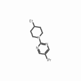 CCC1CCN(c2ncc(C(C)C)cn2)CC1